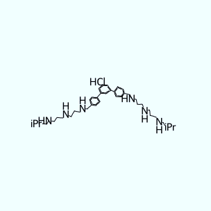 CC(C)CNCCCNCCCNCc1ccc(-c2cccc(-c3ccc(CNCCCNCCCNCC(C)C)cc3)c2)cc1.Cl